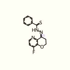 Fc1ccnc2c1OCC/C2=N/NC(=S)c1ccccc1